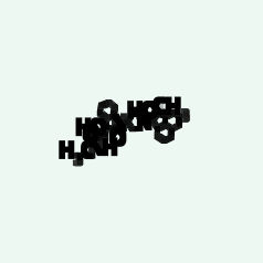 CNC(=O)CC1(O)C(=O)N(C2CCN([C@H]3c4cccc5cccc(c45)[C@]3(C)O)CC2)c2ccccc21